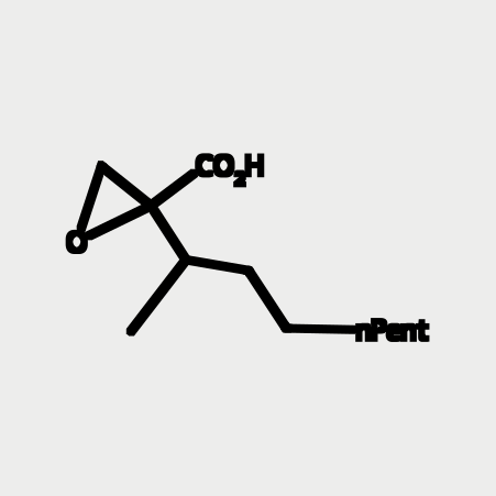 CCCCCCCC(C)C1(C(=O)O)CO1